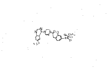 CCN(c1ccc(CC(=O)N2CCN(C3=NC=NC4SC(CC(F)(F)F)=CC34)CC2)c(Cl)c1)S(C)(=O)=O